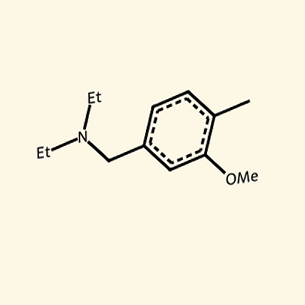 CCN(CC)Cc1ccc(C)c(OC)c1